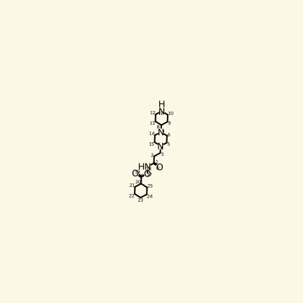 O=C(CCN1CCN(C2CCNCC2)CC1)NOC(=O)C1CCCCC1